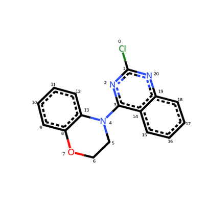 Clc1nc(N2CCOc3ccccc32)c2ccccc2n1